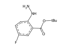 CC(C)(C)OC(=O)c1cc(F)ccc1NN